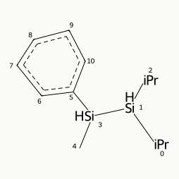 CC(C)[SiH](C(C)C)[SiH](C)c1ccccc1